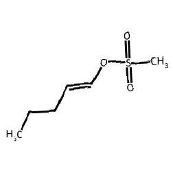 CCC/C=C/OS(C)(=O)=O